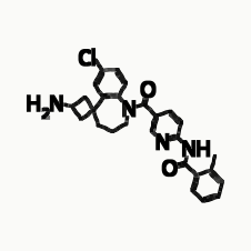 Cc1ccccc1C(=O)Nc1ccc(C(=O)N2CCCC3(CC(N)C3)c3cc(Cl)ccc32)cn1